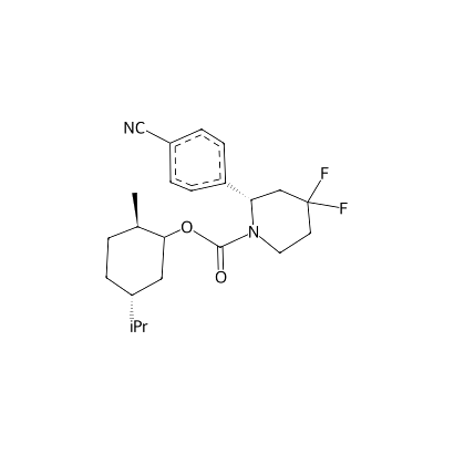 CC(C)[C@@H]1CC[C@@H](C)C(OC(=O)N2CCC(F)(F)C[C@H]2c2ccc(C#N)cc2)C1